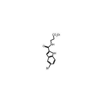 CCOC(=O)CCNC(=O)c1cc2cc(Br)ccc2[nH]1